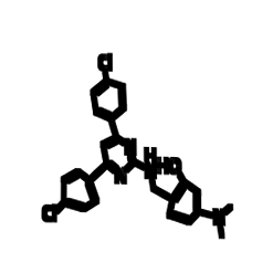 CN(C)c1ccc(CNc2nc(-c3ccc(Cl)cc3)cc(-c3ccc(Cl)cc3)n2)c(O)c1